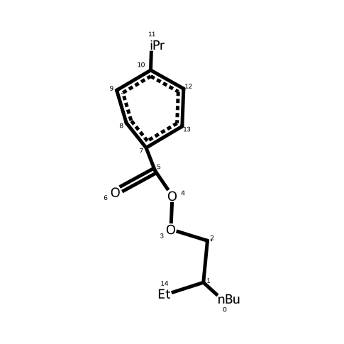 CCCCC([CH]OOC(=O)c1ccc(C(C)C)cc1)CC